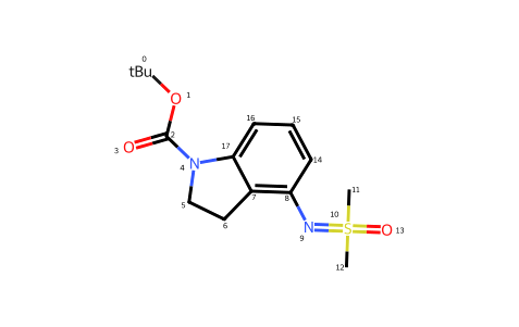 CC(C)(C)OC(=O)N1CCc2c(N=S(C)(C)=O)cccc21